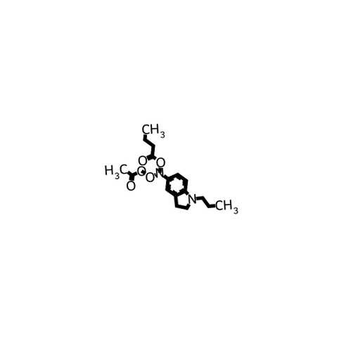 CCCC(=O)ON(OOC(C)=O)c1ccc2c(c1)CCN2CCC